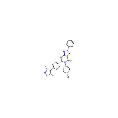 Cc1noc(C)c1-c1ccc(-c2nc3nn(-c4ccccc4)cc3c(=O)n2-c2ccc(Cl)cc2)cc1